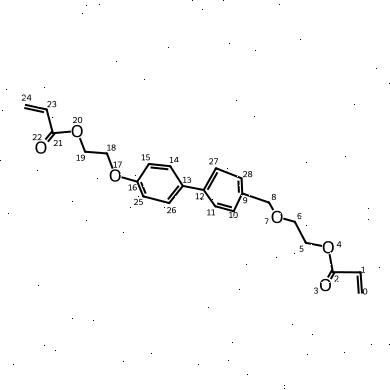 C=CC(=O)OCCOCc1ccc(-c2ccc(OCCOC(=O)C=C)cc2)cc1